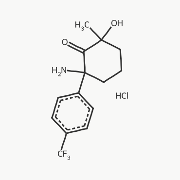 CC1(O)CCCC(N)(c2ccc(C(F)(F)F)cc2)C1=O.Cl